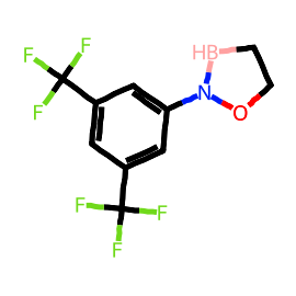 FC(F)(F)c1cc(N2BCCO2)cc(C(F)(F)F)c1